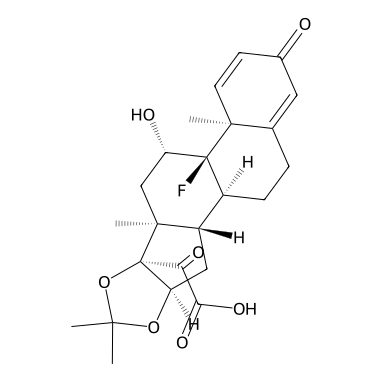 CC1(C)O[C@@H]2C[C@H]3[C@@H]4CCC5=CC(=O)C=C[C@]5(C)[C@@]4(F)[C@@H](O)C[C@]3(C)[C@]2(C(=O)C(=O)O)O1